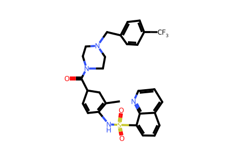 CC1=C(NS(=O)(=O)c2cccc3cccnc23)C=CC(C(=O)N2CCN(Cc3ccc(C(F)(F)F)cc3)CC2)C1